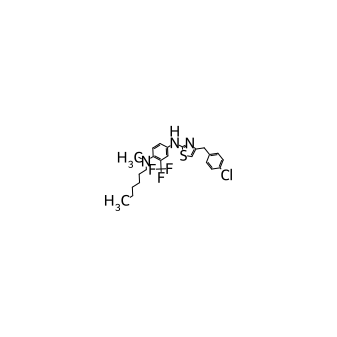 CCCCCCN(C)c1ccc(Nc2nc(Cc3ccc(Cl)cc3)cs2)cc1C(F)(F)F